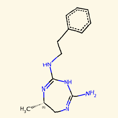 C[C@H]1CN=C(N)NC(NCCc2ccccc2)=N1